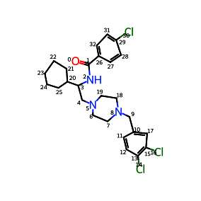 O=C(NC(CN1CCN(Cc2ccc(Cl)c(Cl)c2)CC1)C1CCCCC1)c1ccc(Cl)cc1